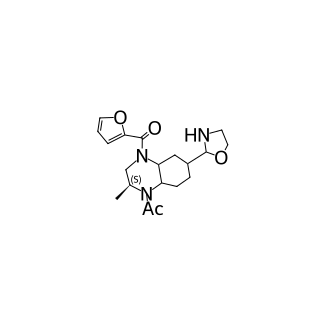 CC(=O)N1C2CCC(C3NCCO3)CC2N(C(=O)c2ccco2)C[C@@H]1C